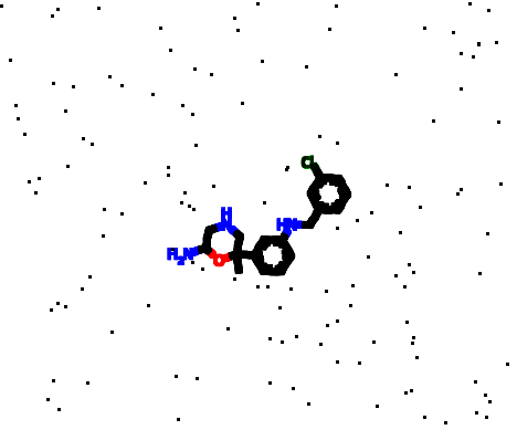 CC1(c2cccc(NCc3cccc(Cl)c3)c2)CNCC(N)O1